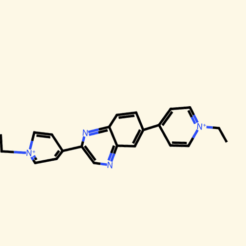 CC[n+]1ccc(-c2ccc3nc(-c4cc[n+](CC)cc4)cnc3c2)cc1